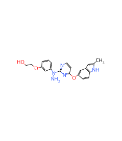 Cc1cc2cc(Oc3ccnc(N(N)c4cccc(OCCO)c4)n3)ccc2[nH]1